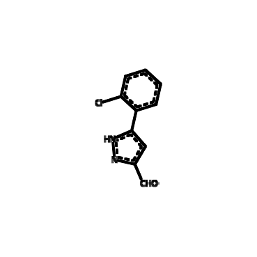 O=[C]c1cc(-c2ccccc2Cl)[nH]n1